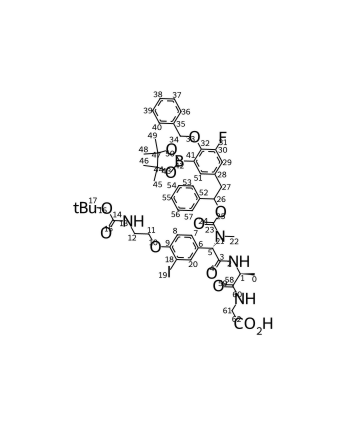 C[C@H](NC(=O)[C@H](c1ccc(OCCNC(=O)OC(C)(C)C)c(I)c1)N(C)C(=O)OC(Cc1cc(F)c(OCc2ccccc2)c(B2OC(C)(C)C(C)(C)O2)c1)c1ccccc1)C(=O)NCC(=O)O